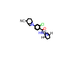 N#C[C@H]1CCC2CC1CN2c1ccc(C(=O)N[C@@H]2C[C@@H]3CC[C@H]2N3C#N)c(Cl)c1